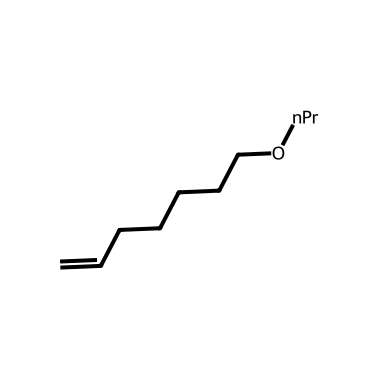 C=CCCCCCOCCC